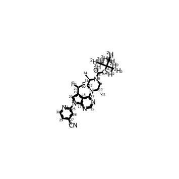 [2H]C([2H])([2H])C(OC(=O)N1C[C@H](C)N(c2ncnc3c2c(C(F)F)cn3-c2cc(C#N)ccn2)C[C@H]1C)(C([2H])([2H])[2H])C([2H])([2H])[2H]